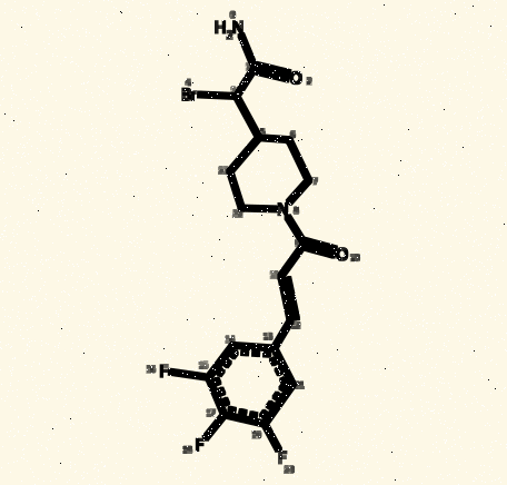 NC(=O)C(Br)C1CCN(C(=O)C=Cc2cc(F)c(F)c(F)c2)CC1